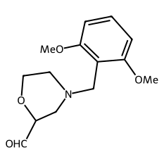 COc1cccc(OC)c1CN1CCOC(C=O)C1